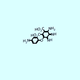 N=C1C(=N)C(Oc2ccc(N)cc2)=C(C(=O)O)C(C(=O)O)=C1N